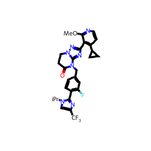 COc1nccc(C2CC2)c1-c1nc2n(n1)CCC(=O)N2Cc1ccc(-c2nc(C(F)(F)F)cn2C(C)C)c(F)c1